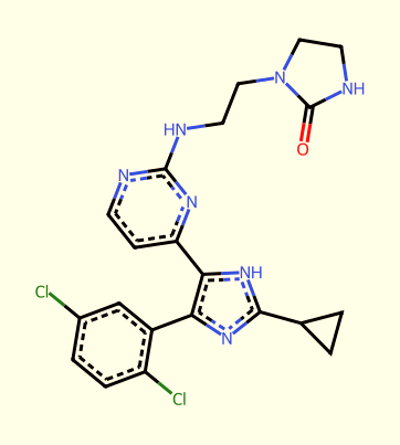 O=C1NCCN1CCNc1nccc(-c2[nH]c(C3CC3)nc2-c2cc(Cl)ccc2Cl)n1